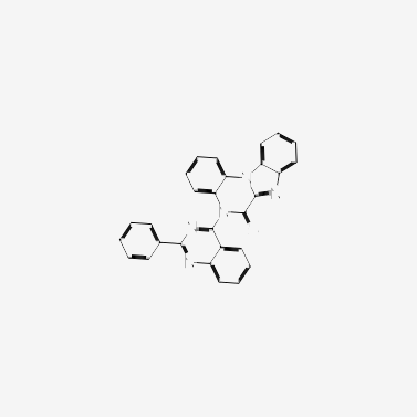 O=c1c2nc3ccccc3n2c2ccccc2n1-c1nc(-c2ccccc2)nc2ccccc12